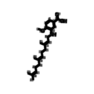 COc1ccc(C(=O)O)cc1NC/C=C(\C)CC/C=C(\C)CCC=C(C)C